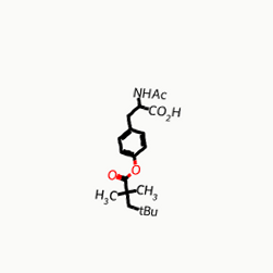 CC(=O)NC(Cc1ccc(OC(=O)C(C)(C)CC(C)(C)C)cc1)C(=O)O